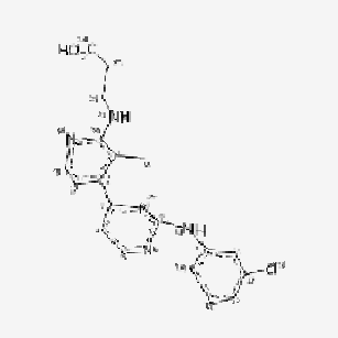 Cc1c(-c2ccnc(Nc3cccc(Cl)c3)n2)ccnc1NCCC(=O)O